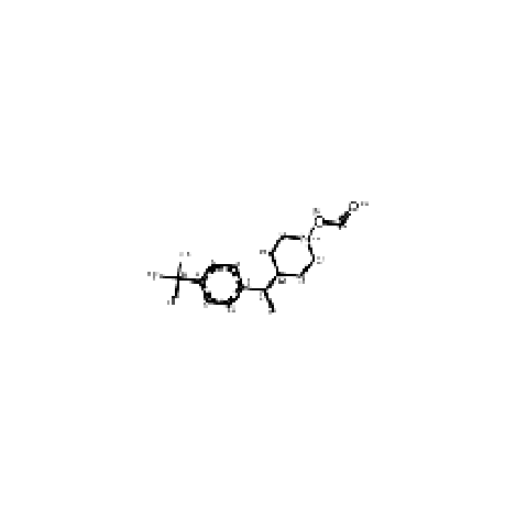 CC(c1ccc(C(F)(F)F)cc1)C1CCN(OC=O)CC1